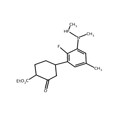 CCOC(=O)C1CCC(c2cc(C)cc(N(C)PC)c2F)CC1=O